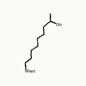 CCCCCCCCCCCCC(C)O